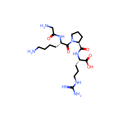 N=C(N)NCCC[C@H](NC(=O)[C@@H]1CCCN1C(=O)[C@H](CCCCN)NC(=O)CN)C(=O)O